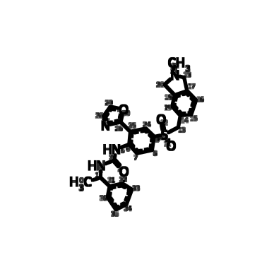 CC(NC(=O)Nc1ccc(S(=O)(=O)Cc2ccc3c(c2)CN(C)C3)cc1-c1ncco1)c1ccccc1